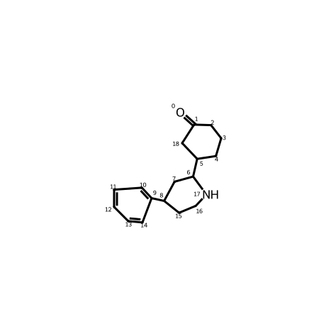 O=C1CCCC(C2CC(c3ccccc3)CCN2)C1